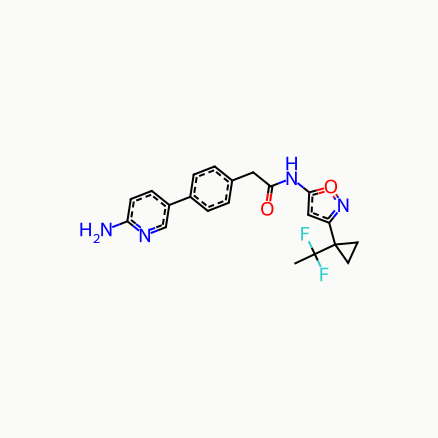 CC(F)(F)C1(c2cc(NC(=O)Cc3ccc(-c4ccc(N)nc4)cc3)on2)CC1